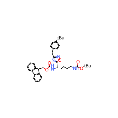 CC(C)(C)OC(=O)NCCCC[C@H](NC(=O)OCC1c2ccccc2-c2ccccc21)c1nc(Cc2ccc(C(C)(C)C)cc2)no1